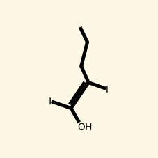 CCCC(I)=C(O)I